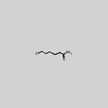 NC(=O)CCCCCCl